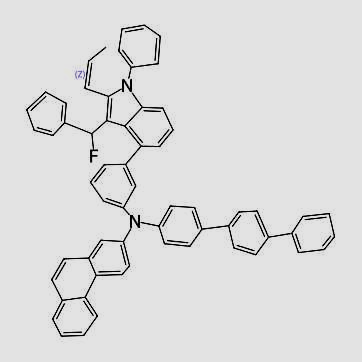 C/C=C\c1c(C(F)c2ccccc2)c2c(-c3cccc(N(c4ccc(-c5ccc(-c6ccccc6)cc5)cc4)c4ccc5c(ccc6ccccc65)c4)c3)cccc2n1-c1ccccc1